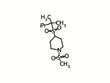 CC(C)C(C)(C)S(=O)(=O)C1CCN(S(C)(=O)=O)CC1